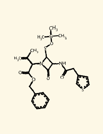 C=C(C)C(C(=O)OCc1ccccc1)N1C(=O)C(NC(=O)Cc2ccsc2)C1SO[Si](C)(C)C